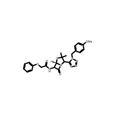 COc1ccc(Cn2nnnc2C2N3C(=O)C(NC(=O)COc4ccccc4)[C@@H]3SC2(C)C)cc1